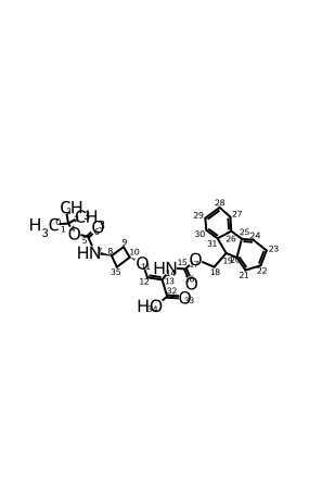 CC(C)(C)OC(=O)N[C@H]1C[C@H](O/C=C(\NC(=O)OCC2c3ccccc3-c3ccccc32)C(=O)O)C1